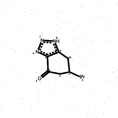 CC(C)C1CC(=O)c2nn[nH]c2C1